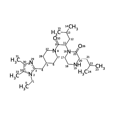 CCn1c(CC2CCN(C(=O)C(CC(C)C)N3CCN[C@@H](CC(C)C)C3=O)CC2)nc(C)c1C